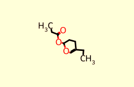 CCC(=O)OC1CCC(CC)=CO1